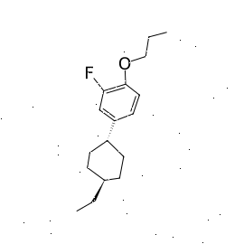 CCCOc1ccc([C@H]2CC[C@H](CC)CC2)cc1F